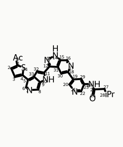 CC(=O)c1ccc(-c2cncc3[nH]c(-c4n[nH]c5cnc(-c6cncc(NC(=O)CC(C)C)c6)cc45)cc23)s1